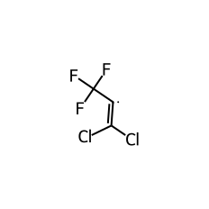 FC(F)(F)[C]=C(Cl)Cl